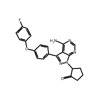 Nc1ncnc2c1c(-c1ccc(Oc3ccc(F)cc3)cc1)nn2C1CCCC1=O